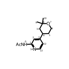 CC(=O)Nc1cc(C2CCOC(C)(C)C2)ccn1